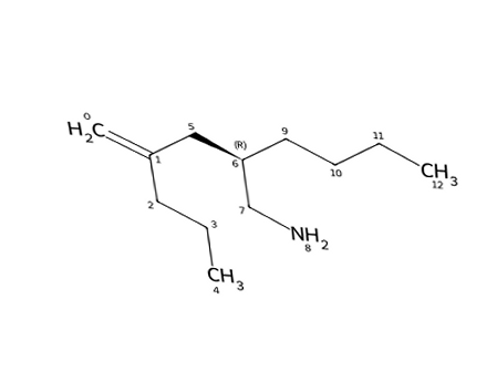 C=C(CCC)C[C@H](CN)CCCC